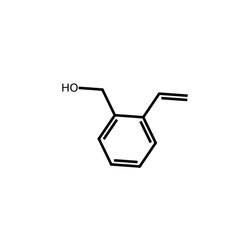 C=Cc1ccccc1CO